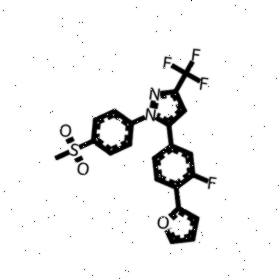 CS(=O)(=O)c1ccc(-n2nc(C(F)(F)F)cc2-c2ccc(-c3ccco3)c(F)c2)cc1